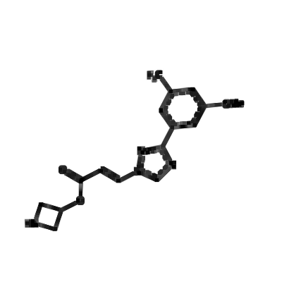 COc1cc(-c2ncn(C=CC(=O)OC3CNC3)n2)cc(C(F)(F)F)c1